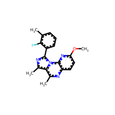 COc1ccc2nc(C)c3c(C)nc(-c4cccc(C)c4F)n3c2n1